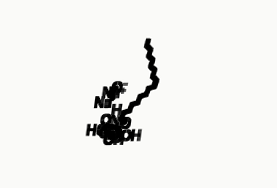 CCCCCCCC/C=C\CCCCCCCC(=O)NC(CC(=O)O)(C(=O)O)S(=O)(=O)O.[Na+].[O-]C[CH2][Na]